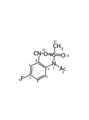 CC(=O)N(c1c[c]c(F)cc1C#N)S(C)(=O)=O